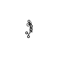 O=C1c2cc(N3CCN(CCCC(c4ccccc4)c4ccccc4)CC3)ccc2CN1C1CCCCC1